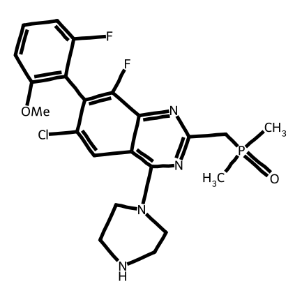 COc1cccc(F)c1-c1c(Cl)cc2c(N3CCNCC3)nc(CP(C)(C)=O)nc2c1F